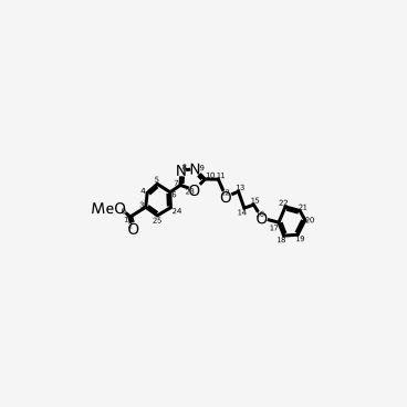 COC(=O)c1ccc(-c2nnc(COCCCOc3ccccc3)o2)cc1